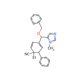 CCC1(C#N)C=CC(C(OCc2ccccc2)c2cncn2C)=CC1c1ccccc1